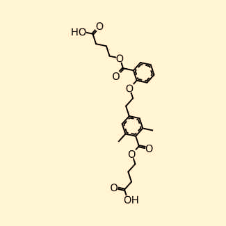 Cc1cc(CCOc2ccccc2C(=O)OCCCC(=O)O)cc(C)c1C(=O)OCCCC(=O)O